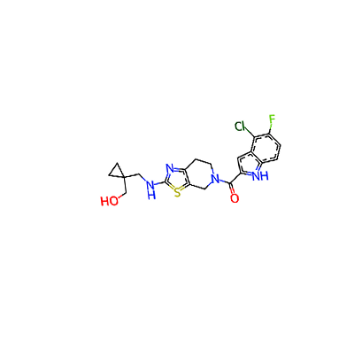 O=C(c1cc2c(Cl)c(F)ccc2[nH]1)N1CCc2nc(NCC3(CO)CC3)sc2C1